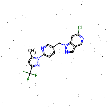 Cc1cc(C(F)(F)F)nn1-c1ccc(Cn2ncc3cnc(Cl)cc32)cn1